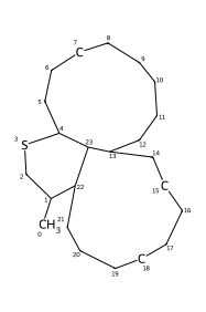 CC1CSC2CCCCCCCCC3CCCCCCCCC1C32